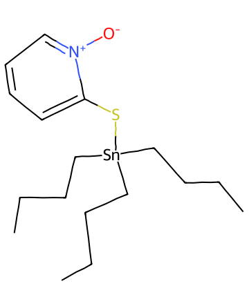 CCC[CH2][Sn]([CH2]CCC)([CH2]CCC)[S]c1cccc[n+]1[O-]